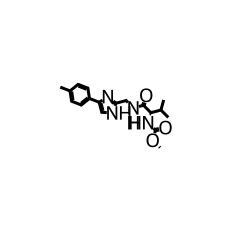 COC(=O)N[C@H](C(=O)NCc1nc(-c2ccc(C)cc2)c[nH]1)C(C)C